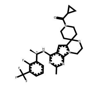 Cc1nc(N[C@H](C)c2cccc(C(F)(F)F)c2F)c2cc3n(c2n1)CCOC31CCN(C(=O)C2CC2)CC1